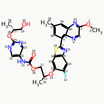 COc1cnc2c(-c3nc4cc(F)c(O[C@@H](C)COC(=O)Nc5cnc(O[C@H](C)CO)nc5)cc4s3)cc(C)cc2n1